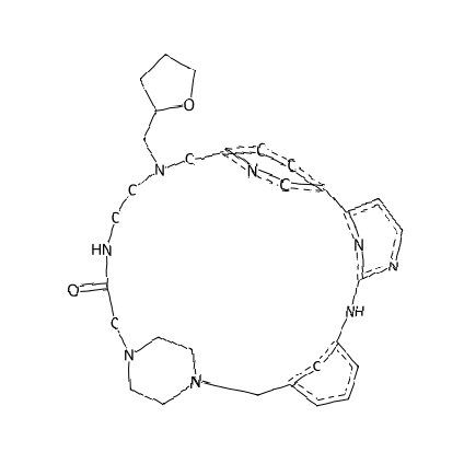 O=C1CN2CCN(CC2)Cc2cccc(c2)Nc2nccc(n2)-c2ccc(nc2)CN(CC2CCCO2)CCN1